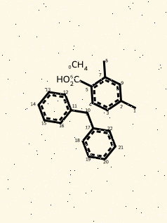 C.Cc1ccc(C(=O)O)c(C)c1.[C](c1ccccc1)c1ccccc1